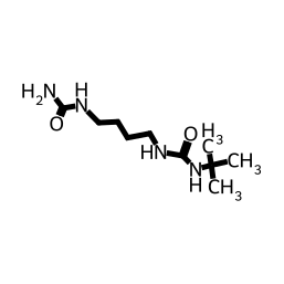 CC(C)(C)NC(=O)NCCCCNC(N)=O